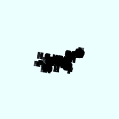 CCCN(CCC)C(=O)c1cc(C)cc(C(=O)N[C@@H](Cc2cc(F)cc(F)c2)[C@H](O)CCNC(=O)CCc2cccnc2)c1